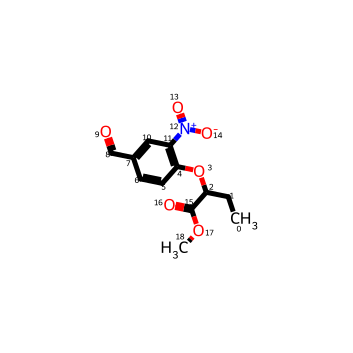 CCC(Oc1ccc(C=O)cc1[N+](=O)[O-])C(=O)OC